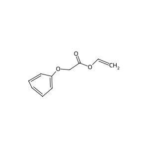 C=COC(=O)COc1ccccc1